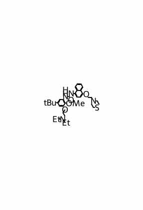 CCN(CC)CCOc1cc(C(C)(C)C)cc(NC(=O)Nc2ccc(OCCN3CCSCC3)c3ccccc23)c1OC